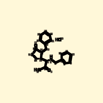 Cl.NC(=O)[C@@H](NCc1ccccc1)[C@@H]1CSC(=O)N1Cc1ccccc1